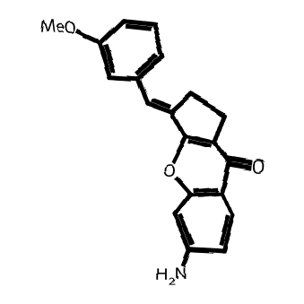 COc1cccc(C=C2CCc3c2oc2cc(N)ccc2c3=O)c1